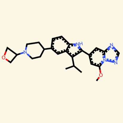 COc1cc(-c2[nH]c3ccc(C4CCN(C5COC5)CC4)cc3c2C(C)C)cc2ncnn12